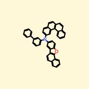 c1ccc(-c2cccc(N(c3ccc4oc5c6ccccc6ccc5c4c3)c3ccc4ccc5ccc6ccccc6c5c4c3)c2)cc1